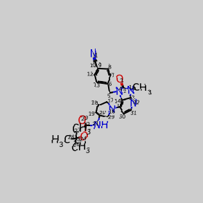 Cn1c(=O)n(Cc2ccc(C#N)cc2)c2c(N3CCCC(NC(=O)OC(C)(C)C)C3)ccnc21